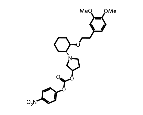 COc1ccc(CCO[C@@H]2CCCC[C@H]2N2CC[C@@H](OC(=O)Oc3ccc([N+](=O)[O-])cc3)C2)cc1OC